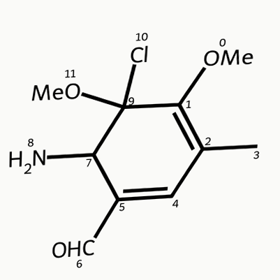 COC1=C(C)C=C(C=O)C(N)C1(Cl)OC